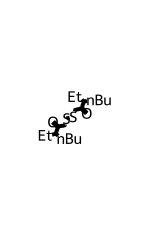 CCCCC(CC)C(=O)CSSCC(=O)C(CC)CCCC